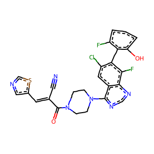 N#CC(=Cc1cncs1)C(=O)N1CCN(c2ncnc3c(F)c(-c4c(O)cccc4F)c(Cl)cc23)CC1